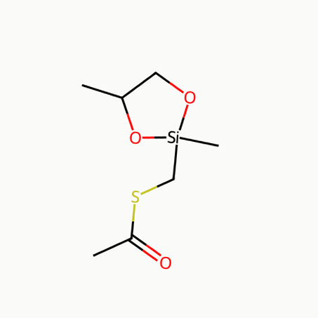 CC(=O)SC[Si]1(C)OCC(C)O1